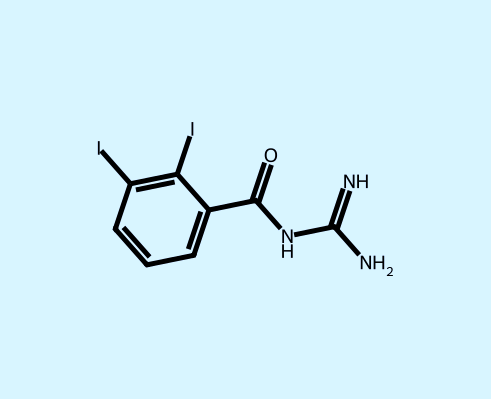 N=C(N)NC(=O)c1cccc(I)c1I